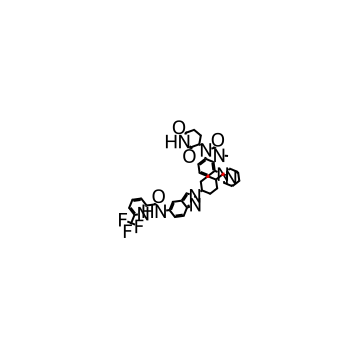 Cn1c(=O)n(C2CCC(=O)NC2=O)c2cccc(N3CC4CC(C3)N4CC3CCC(n4cc5cc(NC(=O)c6cccc(C(F)(F)F)n6)ccc5n4)CC3)c21